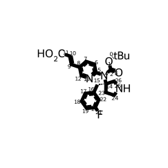 CC(C)(C)OC(=O)N(c1ccc(/C=C/C(=O)O)cn1)[C@]1(Cc2cccc(F)c2)CCNC1